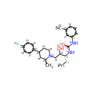 CC(C)C[C@@H](NC(=O)Nc1cccc(C#N)c1)[C@H](O)CN1CCC(c2ccc(F)cc2)CC1C